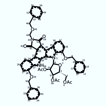 CC(=O)OC[C@H]1OC(n2c3c(OCc4ccccc4)cccc3c3c4c(c5c6cccc(OCc7ccccc7)c6[nH]c5c32)C(=O)N(COCc2ccccc2)C4=O)[C@H](OC(C)=O)[C@@H]1OC(C)=O